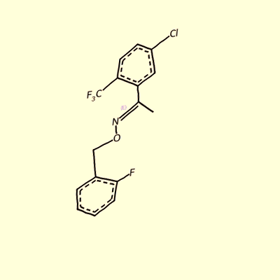 C/C(=N\OCc1ccccc1F)c1cc(Cl)ccc1C(F)(F)F